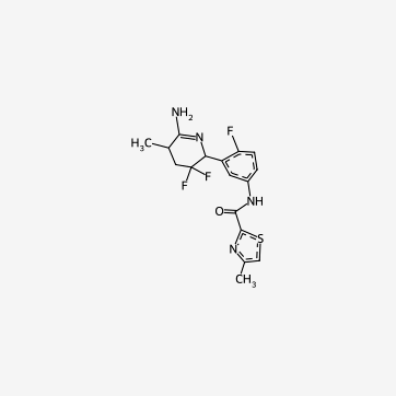 Cc1csc(C(=O)Nc2ccc(F)c(C3N=C(N)C(C)CC3(F)F)c2)n1